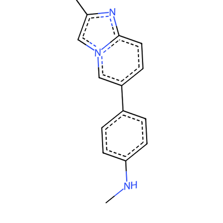 CNc1ccc(-c2ccc3nc(C)cn3c2)cc1